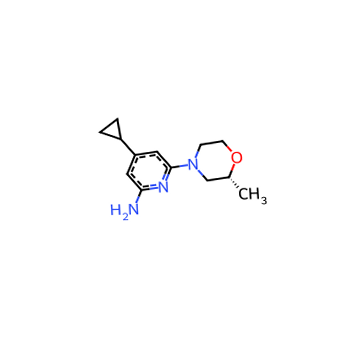 C[C@@H]1CN(c2cc(C3CC3)cc(N)n2)CCO1